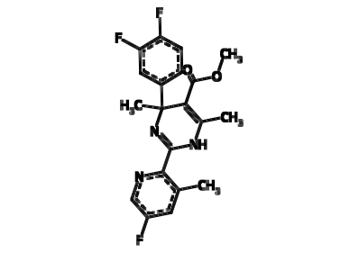 COC(=O)C1=C(C)NC(c2ncc(F)cc2C)=NC1(C)c1ccc(F)c(F)c1